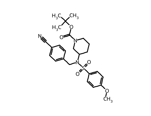 COc1ccc(S(=O)(=O)N(Cc2ccc(C#N)cc2)C2CCCN(C(=O)OC(C)(C)C)C2)cc1